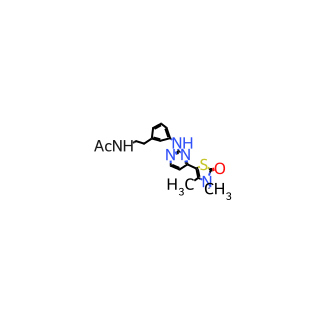 CC(=O)NCCc1cccc(Nc2nccc(-c3sc(=O)n(C)c3C)n2)c1